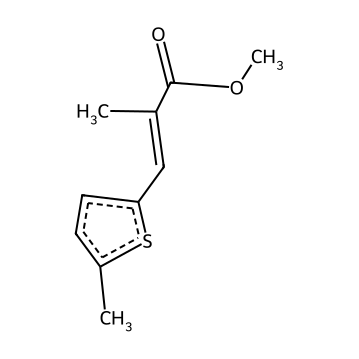 COC(=O)/C(C)=C/c1ccc(C)s1